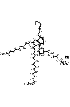 CCC=CCCc1ccccc1N=C(CCCCCCCCCCCCCCCCCCCC)C(C=CCCCCCCCCCCCCCCCCCCCCCC)=Nc1cccc(CCCCCCCCCCCCCCCCC)c1.[Ni]